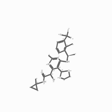 Cc1nc(N[C@H](C)c2cccc(C(F)(F)F)c2C)c(C2OCCO2)c(C(Br)C(=O)NC2(C)CC2)n1